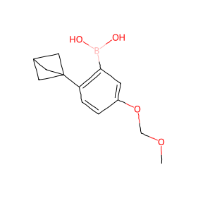 COCOc1ccc(C23CC(C2)C3)c(B(O)O)c1